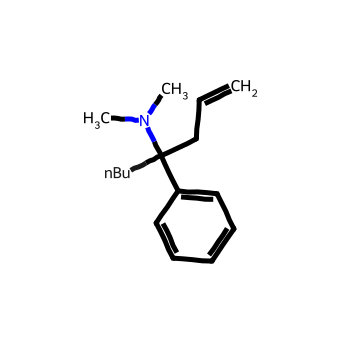 C=CCC(CCCC)(c1ccccc1)N(C)C